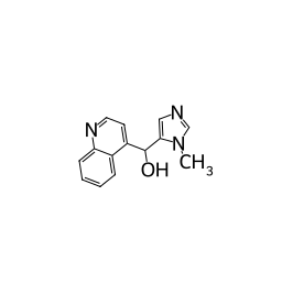 Cn1cncc1C(O)c1ccnc2ccccc12